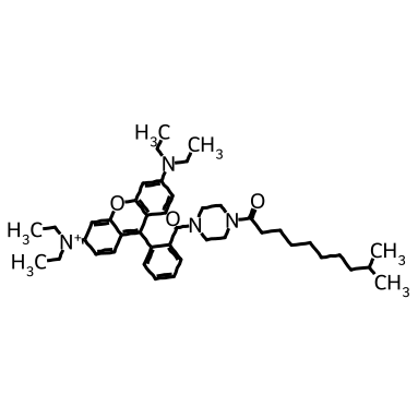 CCN(CC)c1ccc2c(-c3ccccc3C(=O)N3CCN(C(=O)CCCCCCCC(C)C)CC3)c3ccc(=[N+](CC)CC)cc-3oc2c1